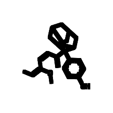 C=C(/C=C\C(=C/C)OC)C1(c2ccc(O)cc2)C2CC3CC(C2)CC1C3